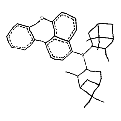 CC1C(B(c2ccc3c4c(cccc24)Oc2ccccc2-3)C2CC3CC(C2C)C3(C)C)CC2CC1C2(C)C